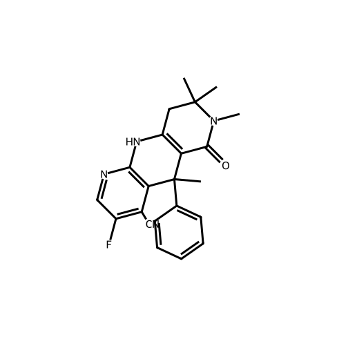 CN1C(=O)C2=C(CC1(C)C)Nc1ncc(F)c(C#N)c1C2(C)c1ccccc1